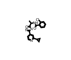 CC(NC(=O)c1ccccc1Cl)c1nc(-c2ccnc(C3CC3)c2)no1